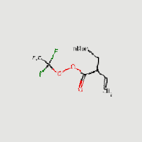 C=CC(CCCCCCCCCC)C(=O)OOC(F)(F)C(F)(F)F